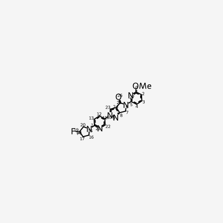 COc1cccc(N2Cc3nn(-c4ccc(N5CC[C@@H](F)C5)nc4)cc3C2=O)n1